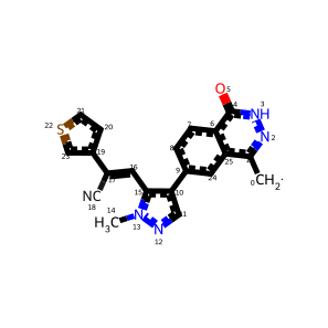 [CH2]c1n[nH]c(=O)c2ccc(-c3cnn(C)c3C=C(C#N)c3ccsc3)cc12